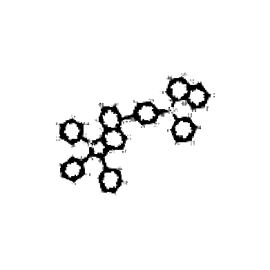 c1ccc(-c2c(-c3ccccc3)n(-c3ccccc3)c3c2ccc2c(-c4ccc(N(c5ccccc5)c5cccc6ccccc56)cc4)cccc23)cc1